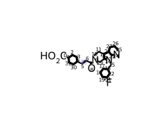 O=C(O)c1ccc(/C=C/C(=O)N2CCc3c(n(Cc4cccc(F)c4)c4ncccc34)C2)cc1